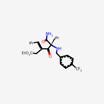 CCOC(=O)CC(=CC(C)C)C(=O)[C@@](NCc1ccc(C(F)(F)F)cc1)(C(N)=O)C(C)C